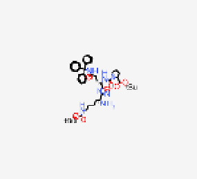 CC(C)(C)OC(=O)NCCCC[C@H](N)c1noc([C@H](CCC(=O)NC(c2ccccc2)(c2ccccc2)c2ccccc2)NC(=O)N2CCCC2C(=O)OC(C)(C)C)n1